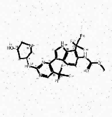 COC(=O)Nc1ccc2c(-c3nc(N[C@@H]4CNC[C@@H](O)C4)ncc3C(F)(F)F)c[nH]c2c1C(F)(F)F